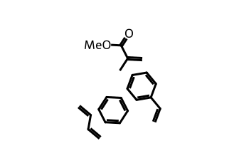 C=C(C)C(=O)OC.C=CC=C.C=Cc1ccccc1.c1ccccc1